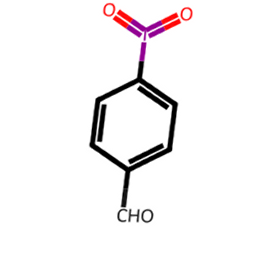 O=Cc1ccc(I(=O)=O)cc1